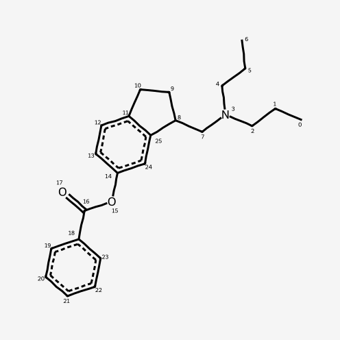 CCCN(CCC)CC1CCc2ccc(OC(=O)c3ccccc3)cc21